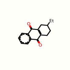 CCC1CCC2=C(C1)C(=O)c1ccccc1C2=O